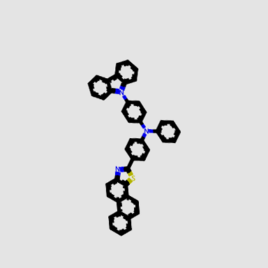 c1ccc(N(c2ccc(-c3nc4ccc5c6ccccc6ccc5c4s3)cc2)c2ccc(-n3c4ccccc4c4ccccc43)cc2)cc1